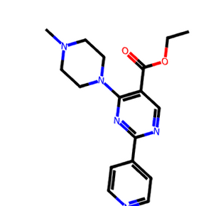 CCOC(=O)c1cnc(-c2ccncc2)nc1N1CCN(C)CC1